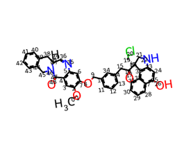 COc1cc2c(cc1OCc1cccc(CC(=O)[C@@]3(CCl)CNc4cc(O)c5ccccc5c43)c1)N=C[C@@H]1Cc3ccccc3CN1C2=O